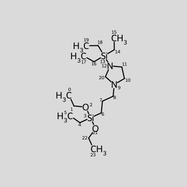 CCO[Si](CC)(CCCN1CCN([Si](CC)(CC)CC)C1)OCC